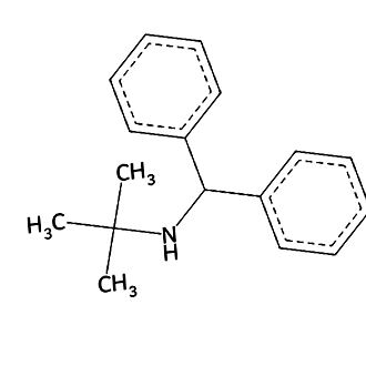 CC(C)(C)NC(c1ccccc1)c1ccccc1